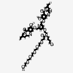 C/C=C1\CC2C=Nc3cc(OCc4cc(OCCN(CCCC=O)C(=O)CCOCCOCCOCCOCCOCCOC)cc(COc5cc6c(cc5OC)C(=O)N5C/C(=C/C)C[C@H]5C=N6)n4)c(OC)cc3C(=O)N2C1